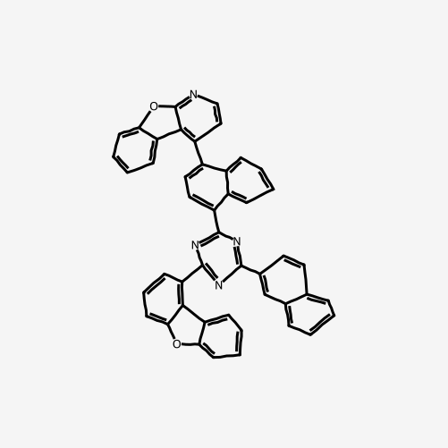 c1ccc2cc(-c3nc(-c4ccc(-c5ccnc6oc7ccccc7c56)c5ccccc45)nc(-c4cccc5oc6ccccc6c45)n3)ccc2c1